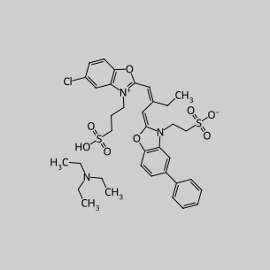 CCC(=Cc1oc2ccc(Cl)cc2[n+]1CCCS(=O)(=O)O)C=C1Oc2ccc(-c3ccccc3)cc2N1CCS(=O)(=O)[O-].CCN(CC)CC